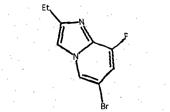 CCc1cn2cc(Br)cc(F)c2n1